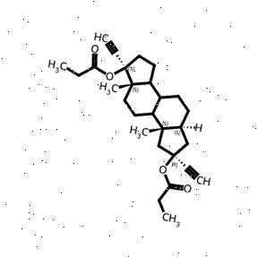 C#C[C@@]1(OC(=O)CC)C[C@@H]2CCC3C4CC[C@](C#C)(OC(=O)CC)[C@@]4(C)CCC3[C@@]2(C)C1